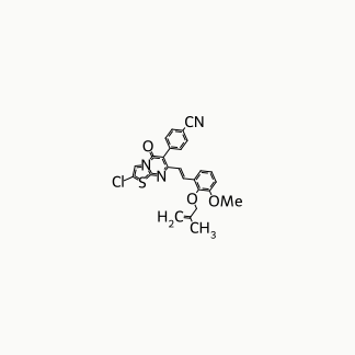 C=C(C)COc1c(/C=C/c2nc3sc(Cl)cn3c(=O)c2-c2ccc(C#N)cc2)cccc1OC